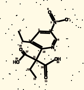 CCc1cc([N+](=O)[O-])cnc1C(CC)(C(=O)O)C(=O)O